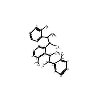 CCc1ccccc1C(C)C(C)c1cccc(O)c1C(C)C(C)c1ccccc1CC